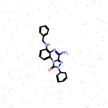 Nc1nc2c(NCc3ccccc3)cccc2n2c(=O)n(C3C=CC=CC3)nc12